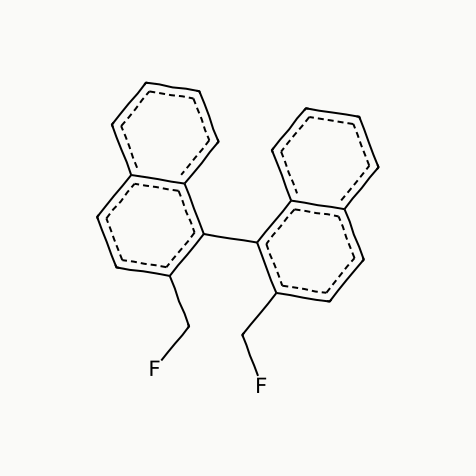 FCc1ccc2ccccc2c1-c1c(CF)ccc2ccccc12